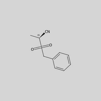 C[C@@H](C#N)S(=O)(=O)Cc1ccccc1